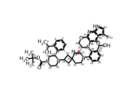 CC(C)c1ccccc1[C@@H]1CN(C(=O)OC(C)(C)C)CCN1C1CC2(CCN(c3cccc(C(=O)O)c3N3c4cc5c(F)c[nH]c5nc4OC[C@H]3C)CC2)C1